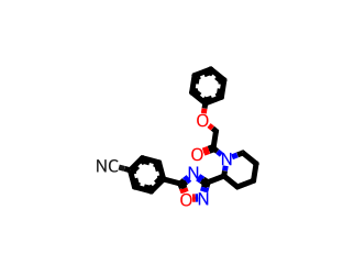 N#Cc1ccc(-c2nc(C3CCCCN3C(=O)COc3ccccc3)no2)cc1